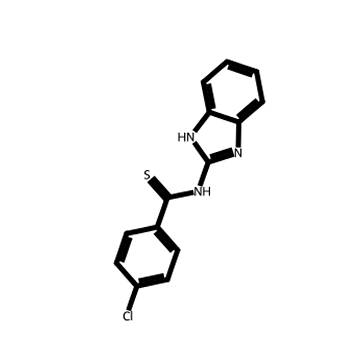 S=C(Nc1nc2ccccc2[nH]1)c1ccc(Cl)cc1